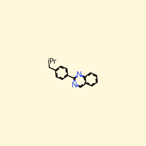 CC(C)Cc1ccc(-c2ncc3ccccc3n2)cc1